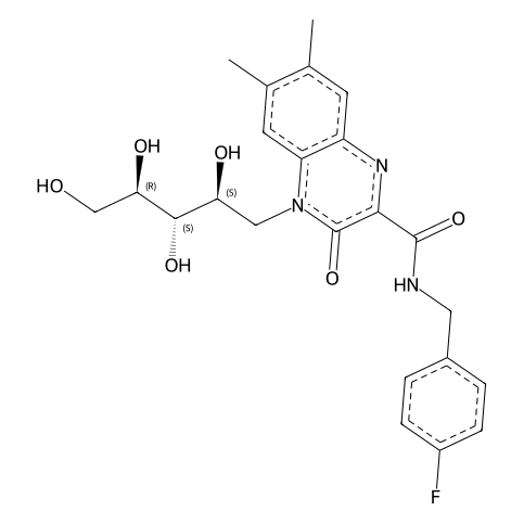 Cc1cc2nc(C(=O)NCc3ccc(F)cc3)c(=O)n(C[C@H](O)[C@H](O)[C@H](O)CO)c2cc1C